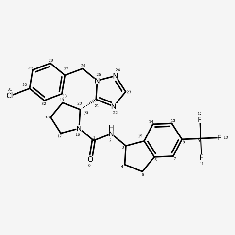 O=C(NC1CCc2cc(C(F)(F)F)ccc21)N1CCC[C@@H]1c1ncnn1Cc1ccc(Cl)cc1